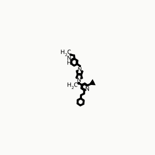 C=C1CC2=C(CCC(CN3CC4=C(C3)CN(C(=C)c3cc(CCC5CCCCC5)nc(C5CC5)c3)C4)=C2)N1